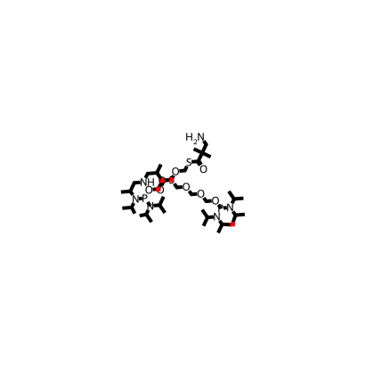 CC(CNCC(C)N(C(C)C)P(OCOCOCSC(=O)C(C)(C)CN)N(C(C)C)C(C)C)C(=O)SCOCOCOP(N(C(C)C)C(C)C)N(C(C)C)C(C)C